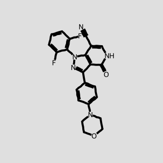 N#Cc1c[nH]c(=O)c2c(-c3ccc(N4CCOCC4)cc3)nn(-c3c(F)cccc3F)c12